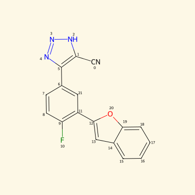 N#Cc1[nH]nnc1-c1ccc(F)c(-c2cc3ccccc3o2)c1